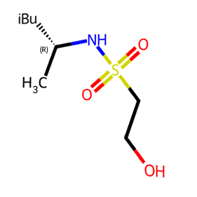 CCC(C)[C@@H](C)NS(=O)(=O)CCO